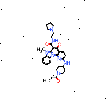 CCC(=O)N1CCC(Nc2ccc3c(=O)c(C(=O)NCCN4CCCC4)c4n(C)c5ccccc5n4c3n2)CC1